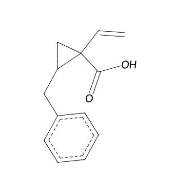 C=CC1(C(=O)O)CC1Cc1ccccc1